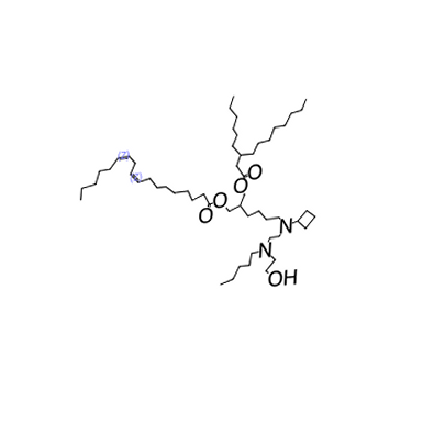 CCCCC/C=C\C/C=C\CCCCCCCC(=O)OCC(CCCCN(CCN(CCO)CCCCC)C1CCC1)COC(=O)CC(CCCCCC)CCCCCCCC